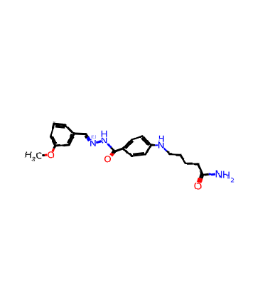 COc1cccc(/C=N/NC(=O)c2ccc(NCCCCC(N)=O)cc2)c1